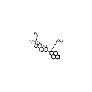 CC(C)CCC[C@@H](C)[C@H]1CCC2C3CC=C4CC(c5cc6ccc7cccc8ccc(c5CCCCCC(=O)O)c6c78)CC[C@]4(C)C3CC[C@@]21C